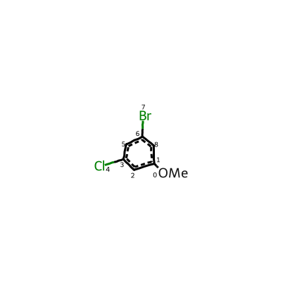 COc1cc(Cl)cc(Br)c1